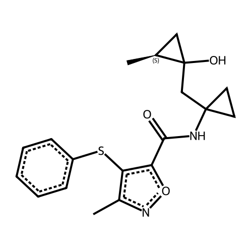 Cc1noc(C(=O)NC2(CC3(O)C[C@@H]3C)CC2)c1Sc1ccccc1